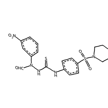 O=CN(NC(=S)Nc1ccc(S(=O)(=O)N2CCCCC2)cc1)c1cccc([N+](=O)[O-])c1